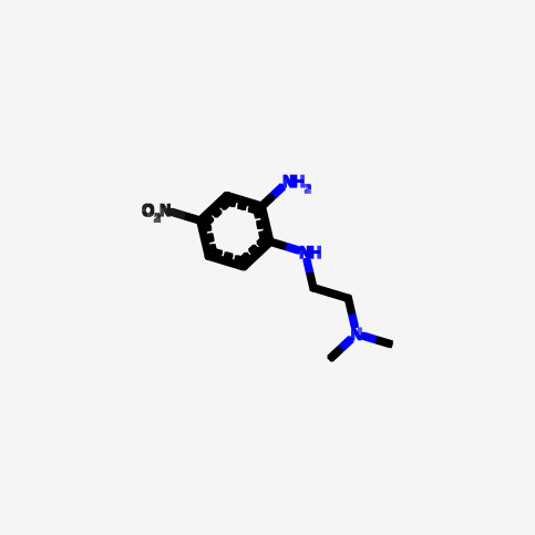 CN(C)CCNc1ccc([N+](=O)[O-])cc1N